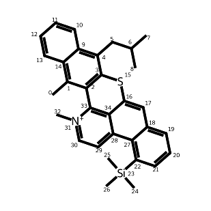 Cc1c2c(c(CC(C)C)c3ccccc13)Sc1cc3cccc([Si](C)(C)C)c3c3cc[n+](C)c-2c13